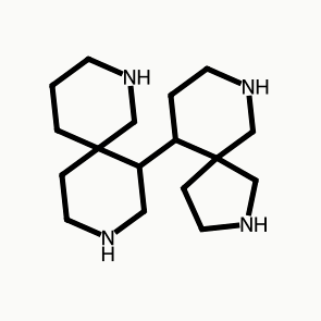 C1CNCC2(C1)CCNCC2C1CCNCC12CCNC2